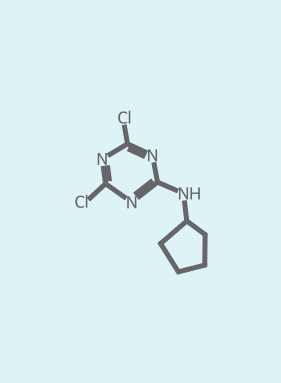 Clc1nc(Cl)nc(NC2CCCC2)n1